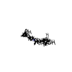 C=Cc1nc(NC(O)C2CC(N[C@@H](CO)C(F)(F)F)C2)sc1/C=C(\C)c1cnc(CO[C@H]2CCC[C@@H]2O)nc1